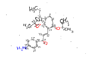 CCCc1ccc(OC(C)C)c(C=CC(=O)c2ccc(N)cc2)c1OC(C)C